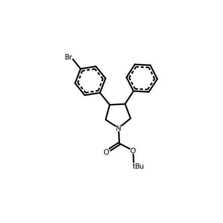 CC(C)(C)OC(=O)N1CC(c2ccccc2)C(c2ccc(Br)cc2)C1